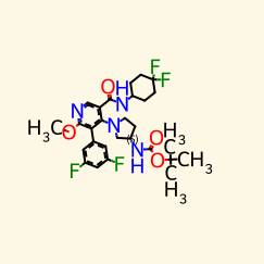 COc1ncc(C(=O)NC2CCC(F)(F)CC2)c(N2CC[C@H](NC(=O)OC(C)(C)C)C2)c1-c1cc(F)cc(F)c1